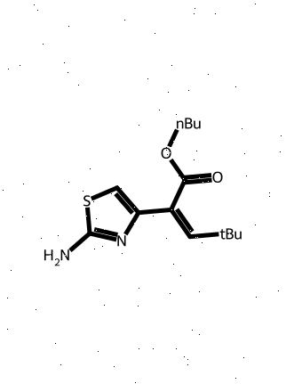 CCCCOC(=O)C(=CC(C)(C)C)c1csc(N)n1